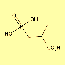 CC(CP(=O)(O)O)C(=O)O